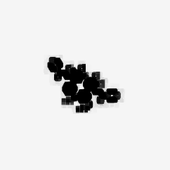 CCCOc1cccc(-c2cc(Sc3cc(-c4cccc(OCCC)c4)c(/C=C/C(=O)N4CCOCC4)c(Cl)c3Cl)c(Cl)c(Cl)c2/C=C/C(=O)N2CCOCC2)c1